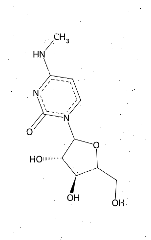 CNc1ccn(C2OC(CO)[C@@H](O)[C@@H]2O)c(=O)n1